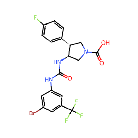 O=C(Nc1cc(Br)cc(C(F)(F)F)c1)N[C@@H]1CN(C(=O)O)C[C@H]1c1ccc(F)cc1